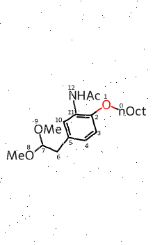 CCCCCCCCOc1ccc(CC(OC)OC)cc1NC(C)=O